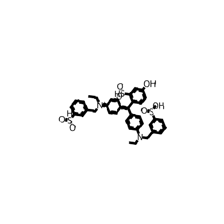 CCN(Cc1cccc(S(=O)O)c1)c1ccc(C(=C2C=CC(=[N+](CC)Cc3cccc([SH](=O)=O)c3)C=C2)c2ccc(O)cc2[SH](=O)=O)cc1